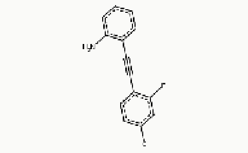 Nc1ccccc1C#Cc1ccc(Cl)cc1F